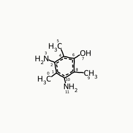 Cc1c(N)c(C)c(O)c(C)c1N